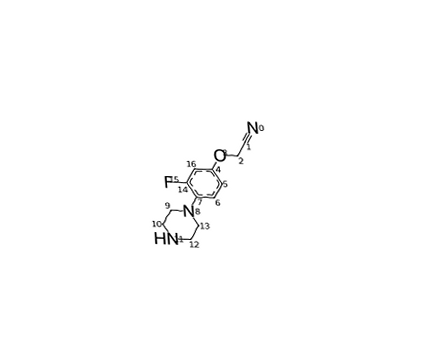 N#CCOc1ccc(N2CCNCC2)c(F)c1